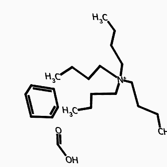 CCCC[N+](CCCC)(CCCC)CCCC.O=CO.c1ccccc1